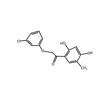 Cc1cc(C(=O)COc2cccc(Cl)c2)c(O)cc1O